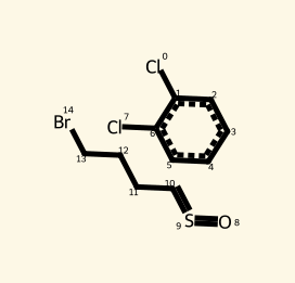 Clc1ccccc1Cl.O=S=CCCCBr